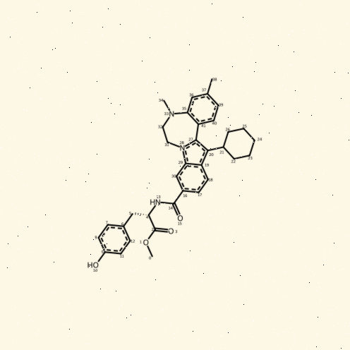 COC(=O)[C@H](Cc1ccc(O)cc1)NC(=O)c1ccc2c(C3CCCCC3)c3n(c2c1)CCN(C)c1cc(C)ccc1-3